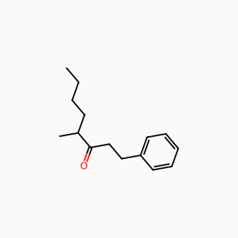 CCCCC(C)C(=O)CCc1ccccc1